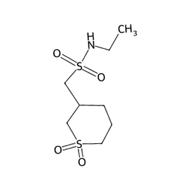 CCNS(=O)(=O)CC1CCCS(=O)(=O)C1